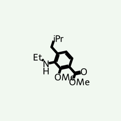 CCNc1c(CC(C)C)ccc(C(=O)OC)c1OC